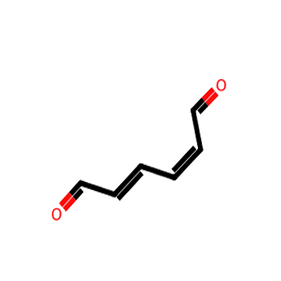 O=C/C=C\C=C\C=O